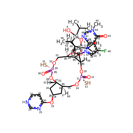 CC(C)[Si](O)(O[Si](O[C@H]1[C@H]2O[P@@](=O)(S)OC[C@H]3C[C@@H](Oc4ccncn4)C[C@@H]3O[P@](=O)(S)OC[C@H]1O[C@H]2n1cc(F)c2c(=O)n(C)cnc21)(C(C)C)C(C)C)C(C)C